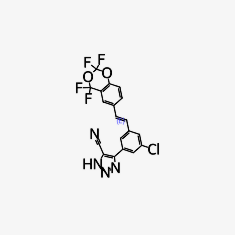 N#Cc1[nH]nnc1-c1cc(Cl)cc(/C=C/c2ccc3c(c2)C(F)(F)OC(F)(F)O3)c1